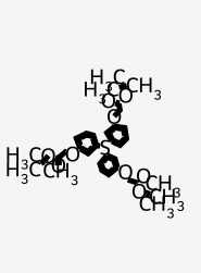 CC(C)(C)OC(=O)COc1cccc([S+](c2cccc(OCC(=O)OC(C)(C)C)c2)c2cccc(OCC(=O)OC(C)(C)C)c2)c1